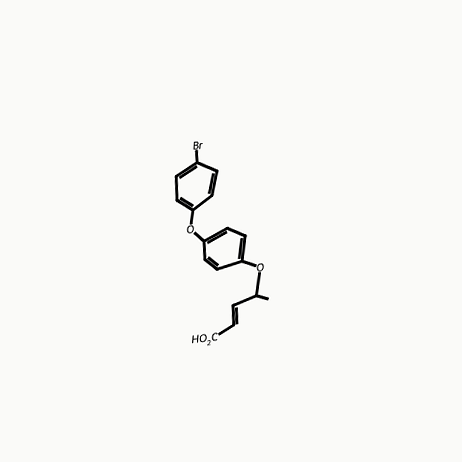 CC(C=CC(=O)O)Oc1ccc(Oc2ccc(Br)cc2)cc1